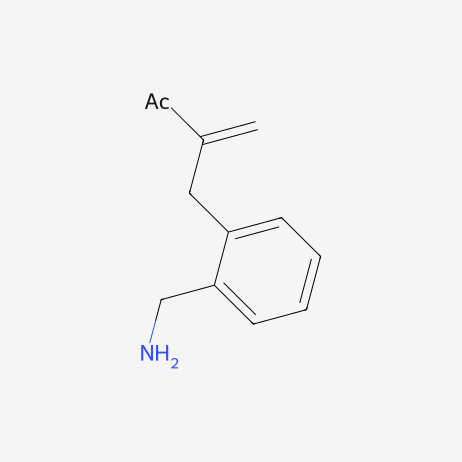 C=C(Cc1ccccc1CN)C(C)=O